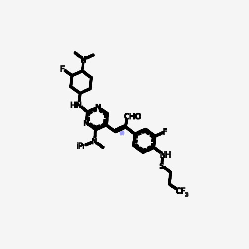 CC(C)N(C)c1nc(NC2CCC(N(C)C)C(F)C2)ncc1/C=C(\C=O)c1ccc(NSCCC(F)(F)F)c(F)c1